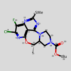 CSc1nc2c3c(nc(Cl)c(F)c3n1)O[C@@H](C)C1CN(C(=O)OC(C)(C)C)CCN21